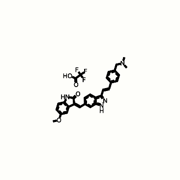 COc1ccc2c(c1)/C(=C/c1ccc3c(/C=C/c4ccc(CN(C)C)cc4)n[nH]c3c1)C(=O)N2.O=C(O)C(F)(F)F